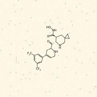 O=C(NO)[C@H]1CC2(CC2)CN[C@@H]1C(=O)C1CC(c2cc(C(F)(F)F)cc(C(F)(F)F)c2)=CCN1